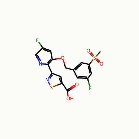 CS(=O)(=O)c1cc(F)cc(COc2cc(F)cnc2-c2cc(C(=O)O)sn2)c1